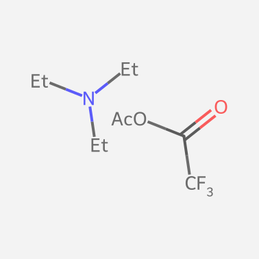 CC(=O)OC(=O)C(F)(F)F.CCN(CC)CC